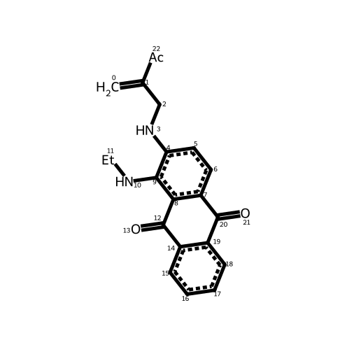 C=C(CNc1ccc2c(c1NCC)C(=O)c1ccccc1C2=O)C(C)=O